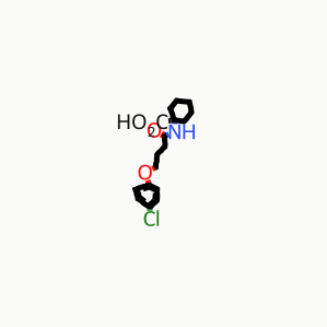 O=C(CCCOc1ccc(Cl)cc1)NC1(C(=O)O)CCCCC1